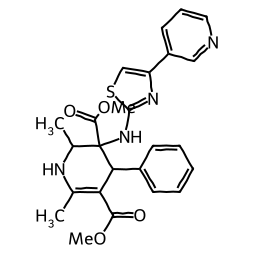 COC(=O)C1=C(C)NC(C)C(Nc2nc(-c3cccnc3)cs2)(C(=O)OC)C1c1ccccc1